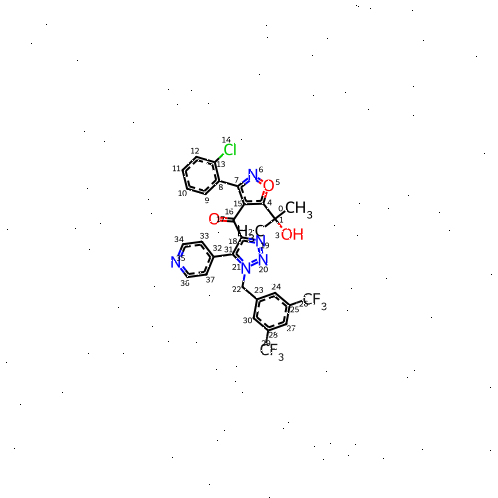 CC(C)(O)c1onc(-c2ccccc2Cl)c1C(=O)c1nnn(Cc2cc(C(F)(F)F)cc(C(F)(F)F)c2)c1-c1ccncc1